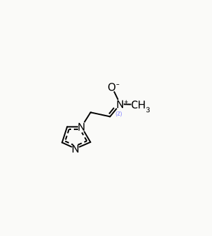 C/[N+]([O-])=C/Cn1ccnc1